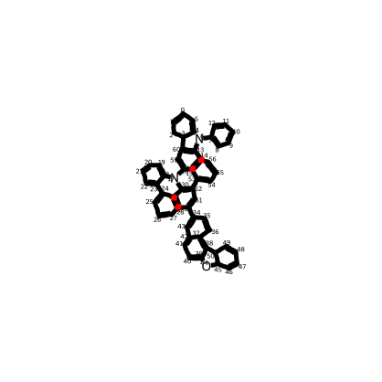 C1=CCC2C(=C1)N(c1ccccc1)c1ccc(N(c3ccccc3-c3ccccc3)c3ccc(-c4ccc5c6c(ccc5c4)OC4C=CC=CC64)cc3-c3ccccc3)cc12